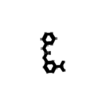 CC(C)c1cccc(CNCc2ccccc2)c1